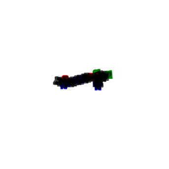 CCC(CC)n1ncn(-c2ccc(N3CCN(c4ccc(OC[C@@H]5CO[C@@](Cn6cncn6)(c6ccc(Cl)cc6Cl)O5)cc4)CC3)cc2)c1=O